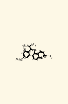 CCCCC(C(Nc1cccc2nc(C)ccc12)c1ccc(OC)cc1F)C(F)(F)F